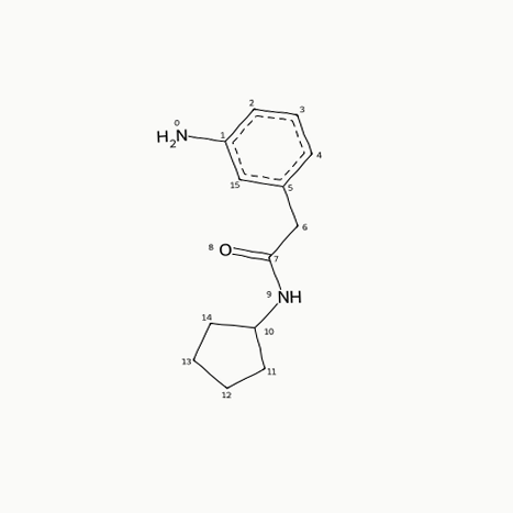 Nc1cccc(CC(=O)NC2CCCC2)c1